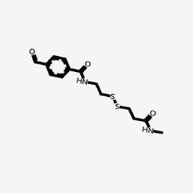 CNC(=O)CCSSCCNC(=O)c1ccc(C=O)cc1